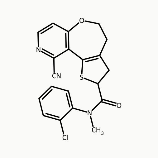 CN(C(=O)C1CC2=C(S1)c1c(ccnc1C#N)OCC2)c1ccccc1Cl